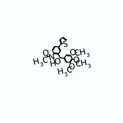 COc1cc(C(=O)c2cc(-c3cccs3)ccc2NC(C)=O)cc(OC)c1OC